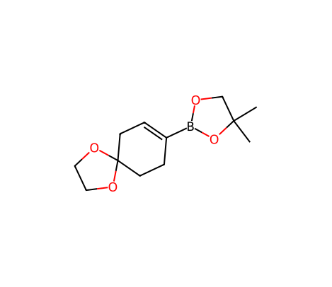 CC1(C)COB(C2=CCC3(CC2)OCCO3)O1